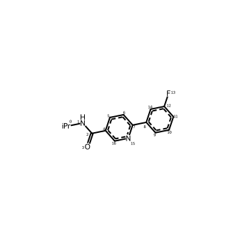 CC(C)NC(=O)c1ccc(-c2cccc(F)c2)nc1